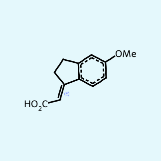 COc1ccc2c(c1)CC/C2=C\C(=O)O